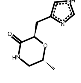 C[C@@H]1CNC(=O)[C@@H](Cc2c[nH]cn2)O1